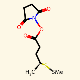 CSS[C@@H](C)CCC(=O)ON1C(=O)CCC1=O